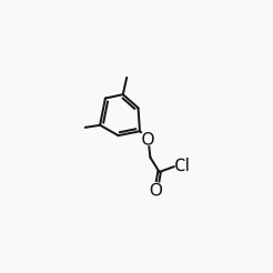 Cc1cc(C)cc(OCC(=O)Cl)c1